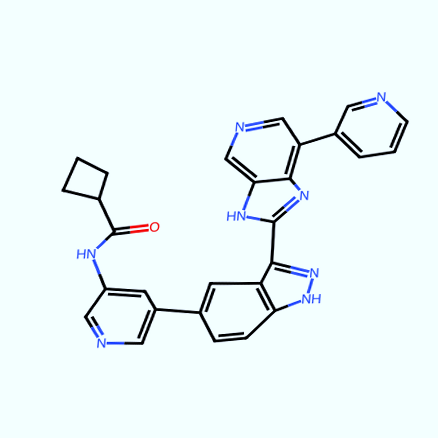 O=C(Nc1cncc(-c2ccc3[nH]nc(-c4nc5c(-c6cccnc6)cncc5[nH]4)c3c2)c1)C1CCC1